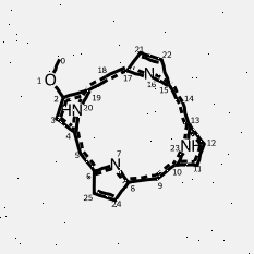 COc1cc2cc3nc(cc4ccc(cc5nc(cc1[nH]2)C=C5)[nH]4)C=C3